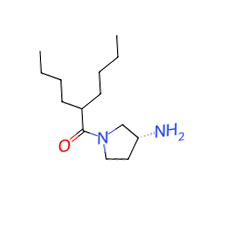 CCCCC(CCCC)C(=O)N1CC[C@@H](N)C1